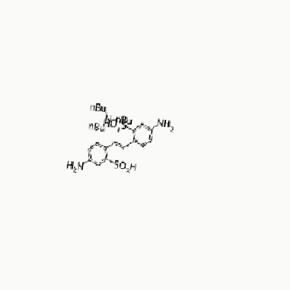 CCCCN(CCCC)CCCC.Nc1ccc(C=Cc2ccc(N)cc2S(=O)(=O)O)c(S(=O)(=O)O)c1